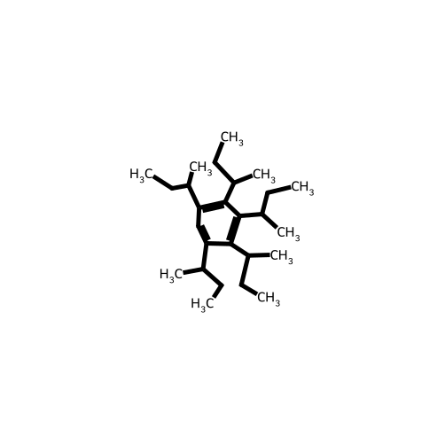 CCC(C)c1cc(C(C)CC)c(C(C)CC)c(C(C)CC)c1C(C)CC